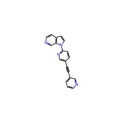 C(#Cc1ccc(-n2ccc3ccncc32)nc1)c1cccnc1